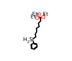 CCOC(CCCCCCC[SiH2]c1ccccc1)(OCC)OCC